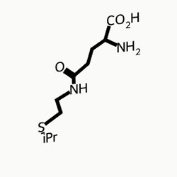 CC(C)SCCNC(=O)CCC(N)C(=O)O